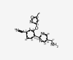 Cc1cc(Oc2cc(C#N)ccc2-c2ncc(CN)cn2)no1